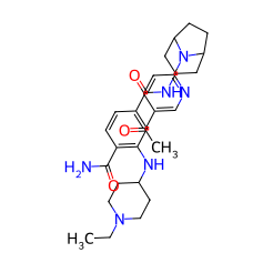 CCN1CCC(Nc2cc(C(=O)NC3CC4CCC(C3)N4c3ccc(C(C)=O)cn3)ccc2C(N)=O)CC1